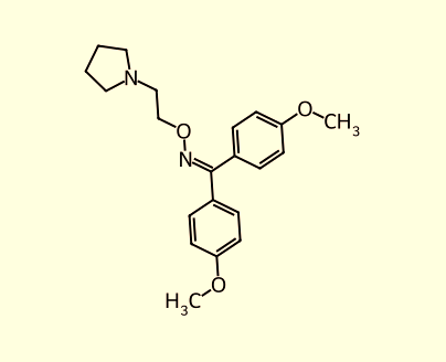 COc1ccc(C(=NOCCN2CCCC2)c2ccc(OC)cc2)cc1